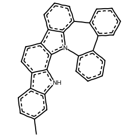 Cc1ccc2c(c1)[nH]c1c2ccc2c3cccc4c3n(c21)-c1ccccc1-c1ccccc1-4